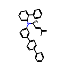 C=C(C)C=CC(C(C)C)N(c1cccc(-c2ccc(-c3ccccc3)cc2)c1)c1ccccc1-c1ccccc1